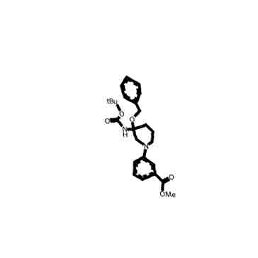 COC(=O)c1cccc(N2CCCC(NC(=O)OC(C)(C)C)(OCc3ccccc3)C2)c1